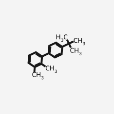 Cc1cccc(-c2ccc(C(C)(C)C)cc2)c1C